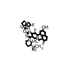 [2H]C([2H])(Oc1nc(N2CCC[C@@H](N(C)C(C)=O)C2)c2cnc(-c3cc(O)cc4ccc(F)c(C#C)c34)c(F)c2n1)[C@@]12CCCN1C[C@H](F)C2